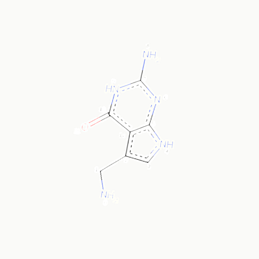 NCc1c[nH]c2nc(N)[nH]c(=O)c12